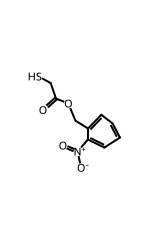 O=C(CS)OCc1ccccc1[N+](=O)[O-]